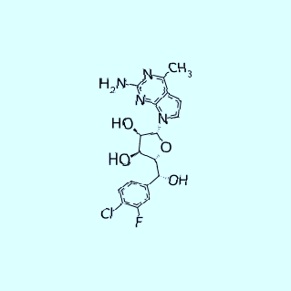 Cc1nc(N)nc2c1ccn2[C@@H]1O[C@H]([C@H](O)c2ccc(Cl)c(F)c2)[C@@H](O)[C@H]1O